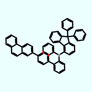 c1ccc(N(c2ccccc2-c2ccc(-c3ccc4c(ccc5ccccc54)c3)cc2)c2cccc3c2-c2ccccc2C3(c2ccccc2)c2ccccc2)cc1